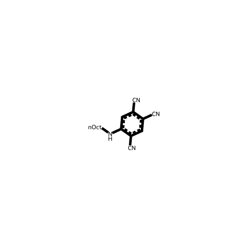 CCCCCCCCNc1cc(C#N)c(C#N)cc1C#N